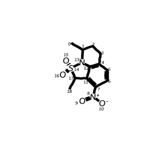 CC1CCc2ccc([N+](=O)[O-])c3c2N1S(=O)(=O)C3C